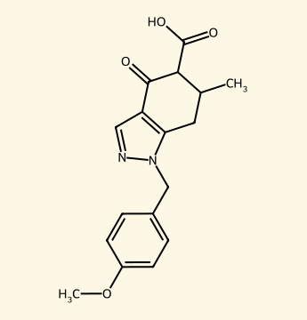 COc1ccc(Cn2ncc3c2CC(C)C(C(=O)O)C3=O)cc1